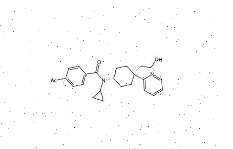 CC(=O)c1ccc(C(=O)N(C2CC2)[C@H]2CC[C@](CCO)(c3ccccn3)CC2)cc1